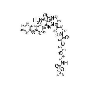 CC(C)(C)OC(=O)NCCOCCOCC(=O)N1CCC([C@@H]2CCNc3c(C(N)=O)c(-c4ccc(Oc5ccccc5)cc4)nn32)CC1